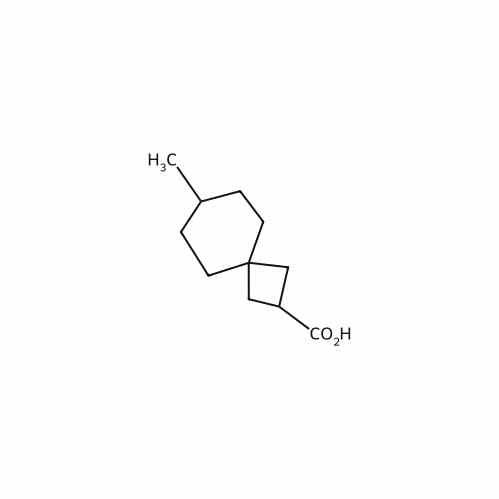 CC1CCC2(CC1)CC(C(=O)O)C2